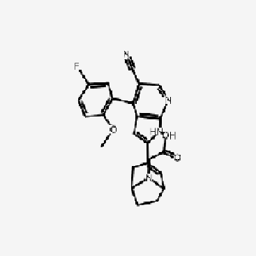 COc1ccc(F)cc1-c1c(C#N)cnc2[nH]c(C3=CC4CCC(C3)N4CC(=O)O)cc12